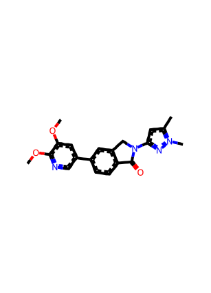 COc1cc(-c2ccc3c(c2)CN(c2cc(C)n(C)n2)C3=O)cnc1OC